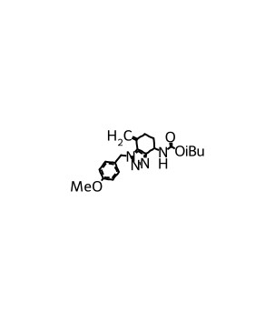 C=C1CCC(NC(=O)OCC(C)C)c2nnn(Cc3ccc(OC)cc3)c21